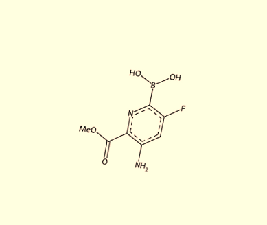 COC(=O)c1nc(B(O)O)c(F)cc1N